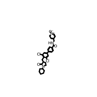 O=C(NCc1cc[n+]([O-])cc1)c1ccc(-c2cc(Cl)c(CC3CCN(C4CCCCC4)C3=O)c(Cl)c2)cc1